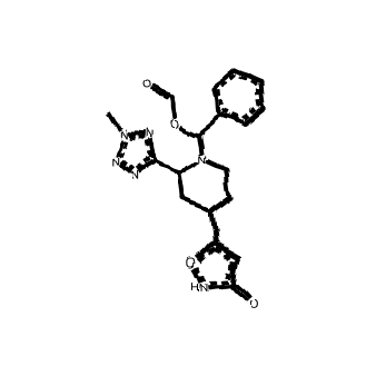 Cn1nnc(C2CC(c3cc(=O)[nH]o3)CCN2C(OC=O)c2ccccc2)n1